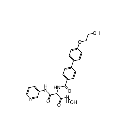 O=C(NC(C(=O)NO)C(=O)Nc1cccnc1)c1ccc(-c2ccc(OCCO)cc2)cc1